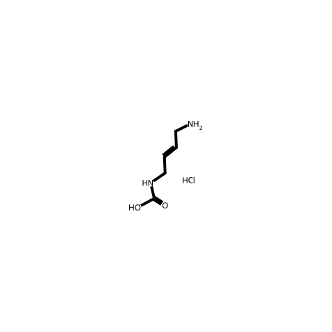 Cl.NCC=CCNC(=O)O